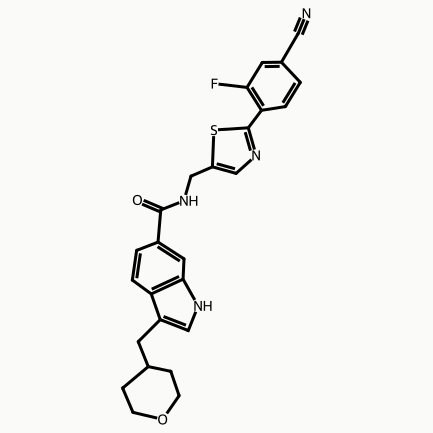 N#Cc1ccc(-c2ncc(CNC(=O)c3ccc4c(CC5CCOCC5)c[nH]c4c3)s2)c(F)c1